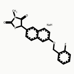 CN1C(=O)SC(c2ccc3cc(OCc4ccccc4F)ccc3c2)C1=O.[NaH]